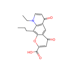 CCCc1c2oc(C(=O)O)cc(=O)c2cc2c(=O)ccn(CC)c12